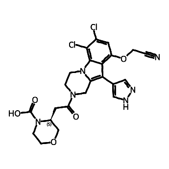 N#CCOc1cc(Cl)c(Cl)c2c1c(-c1cn[nH]c1)c1n2CCN(C(=O)C[C@H]2COCCN2C(=O)O)C1